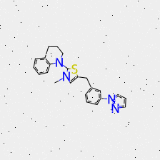 CN1C=C(Cc2cccc(-n3cccn3)c2)SC1N1CCCc2ccccc21